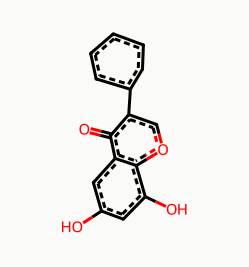 O=c1c(-c2ccccc2)coc2c(O)cc(O)cc12